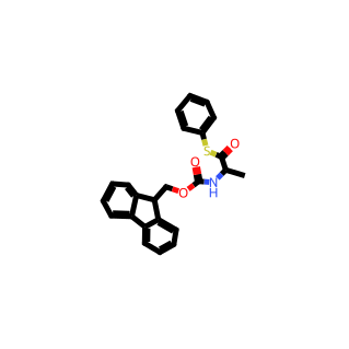 CC(NC(=O)OCC1c2ccccc2-c2ccccc21)C(=O)Sc1ccccc1